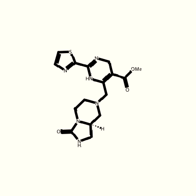 COC(=O)C1=C(CN2CCN3C(=O)NC[C@@H]3C2)NC(c2nccs2)=NC1